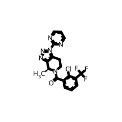 C[C@H]1c2nnn(-c3ncccn3)c2CCN1C(=O)c1cccc(C(F)(F)F)c1Cl